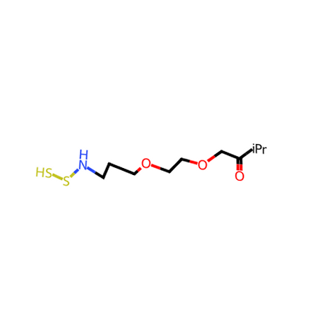 CC(C)C(=O)COCCOCCCNSS